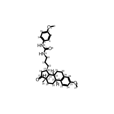 COc1ccc(NC(=O)NCCC[C@@H]2CC(=O)[C@@]3(C)CC[C@@H]4c5ccc(OC)cc5CC[C@H]4[C@H]23)cc1